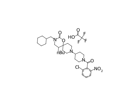 CCCCC1CN(CC2CCCCC2)C(=O)OC12CCN(C1CCN(C(=O)c3c(Cl)cccc3[N+](=O)[O-])CC1)CC2.O=C(O)C(F)(F)F